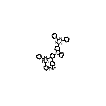 FC(F)(F)c1ccc(-c2cc(-n3c4ccccc4c4cc(-c5nc(-c6ccccc6)nc(-c6ccccc6)n5)ccc43)ccc2-c2nc(-c3ccccc3)nc(-c3ccccc3)n2)cc1